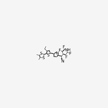 CCc1c/c(=c2/cc/c(=C(\C#N)C3=C(F)C(F)NC(F)=C3F)nc2)sc1=C1SC(C)=C(C)S1